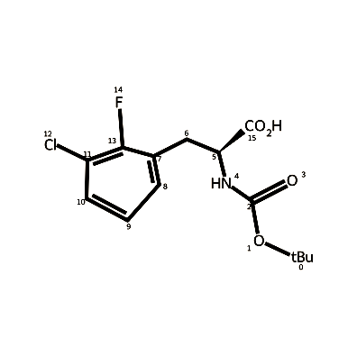 CC(C)(C)OC(=O)N[C@@H](Cc1cccc(Cl)c1F)C(=O)O